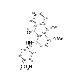 CNc1ccc(Nc2ccc(C(=O)O)cc2)c2c1C(=O)c1ccccc1C2=O